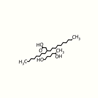 CC(O)CCCCO.CCCCCCCCCCC(CCCCCCCC)CC(=O)O